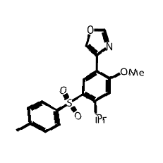 COc1cc(C(C)C)c(S(=O)(=O)c2ccc(C)cc2)cc1-c1cocn1